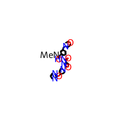 CNC(=O)c1cc(CN2CCOCC2)ccc1NC(=O)c1coc(N2CCC(Oc3ncccn3)CC2)n1